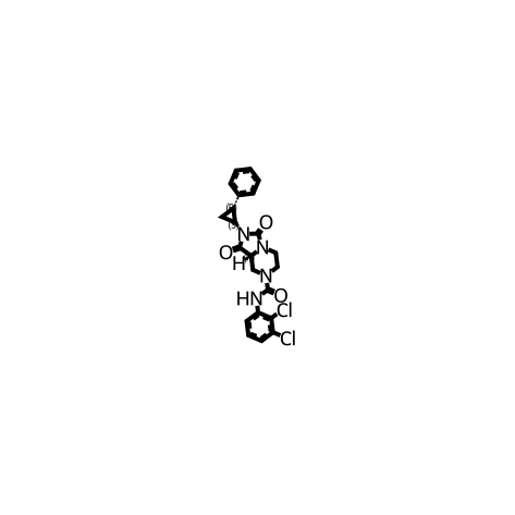 O=C(Nc1cccc(Cl)c1Cl)N1CCN2C(=O)N([C@H]3C[C@@H]3c3ccccc3)C(=O)[C@H]2C1